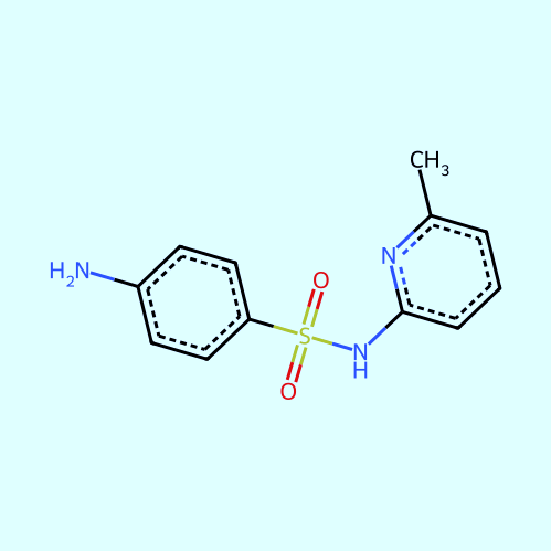 Cc1cccc(NS(=O)(=O)c2ccc(N)cc2)n1